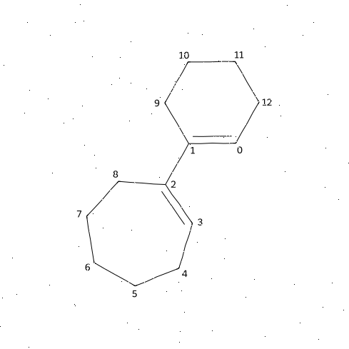 C1=C(C2=CCCCCC2)CCCC1